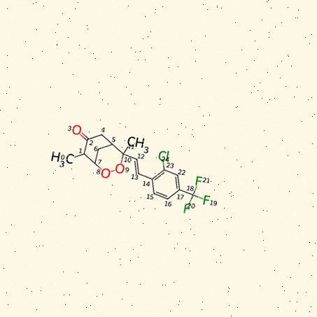 CC1C(=O)CC2CC1OOC2(C)C=Cc1ccc(C(F)(F)F)cc1Cl